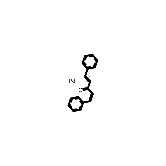 O=C(/C=C\c1ccccc1)/C=C/c1ccccc1.[Pd]